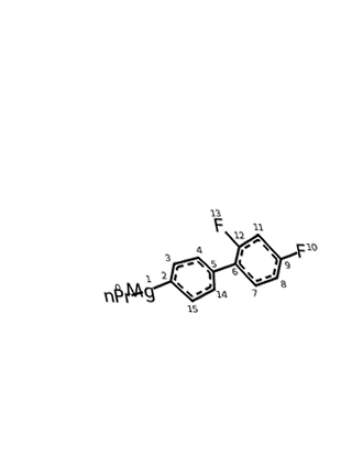 CC[CH2][Mg][c]1ccc(-c2ccc(F)cc2F)cc1